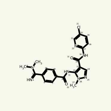 CN(C)C(=N)c1ccc(C(=O)Nc2c(C(=O)Nc3ccc(Cl)cn3)cnn2C)cc1